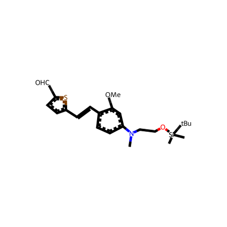 COc1cc(N(C)CCO[Si](C)(C)C(C)(C)C)ccc1/C=C/c1ccc(C=O)s1